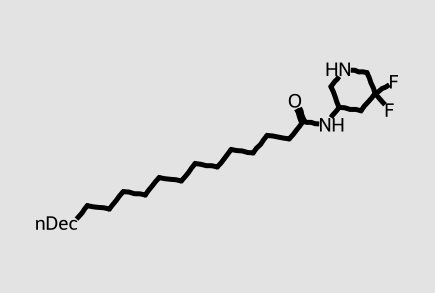 CCCCCCCCCCCCCCCCCCCCCCC(=O)NC1CNCC(F)(F)C1